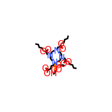 C#COP(=O)(OCC)C(CCC(=O)O)N1CCN(CC(=O)OCCCC)CCN(CC(=O)OCCCC)CCN(CC(=O)OCCCC)CC1